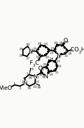 COCCN1C[C@@H](C)N(c2nc3ccc(-n4cc(C(=O)O)c(=O)cc4-c4ccc(N5CCCC5)c(C(F)(F)F)c4)cc3o2)[C@@H](C)C1